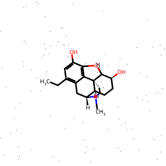 CCc1cc(O)c2c3c1C[C@@H]1[C@@H]4CC[C@H](O)[C@H](O2)[C@]34CCN1C